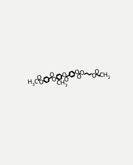 C=CC(=O)OCCCCOC(=O)Oc1ccc(C(=O)Oc2ccc(OC(=O)c3ccc(OC(C)=O)cc3)c(C)c2)cc1